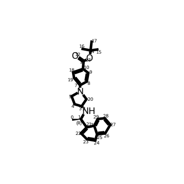 C[C@@H](NC1CCN(c2ccc(C(=O)OC(C)(C)C)cc2)C1)c1cccc2ccccc12